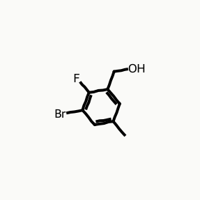 Cc1cc(Br)c(F)c(CO)c1